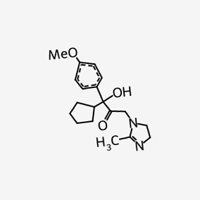 COc1ccc(C(O)(C(=O)CN2CCN=C2C)C2CCCC2)cc1